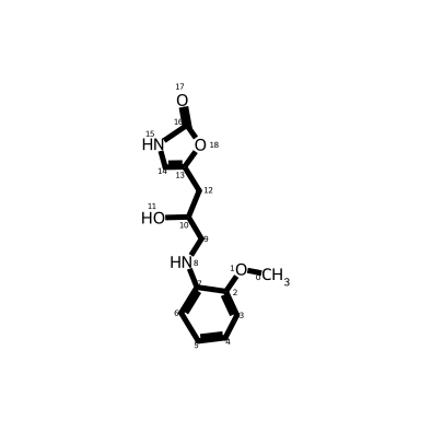 COc1ccccc1NCC(O)Cc1c[nH]c(=O)o1